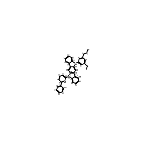 CCCc1cc(CC)cc(-n2c3ccccc3c3cc4c(cc32)c2ccccc2n4-c2cccc(-c3ccccc3)n2)c1